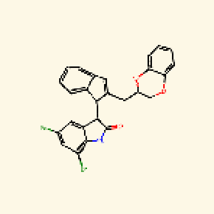 O=C1Nc2c(Br)cc(Br)cc2C1C1C(CC2COc3ccccc3O2)=Cc2ccccc21